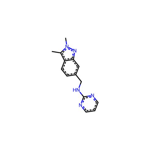 Cc1c2ccc(CNc3ncccn3)cc2nn1C